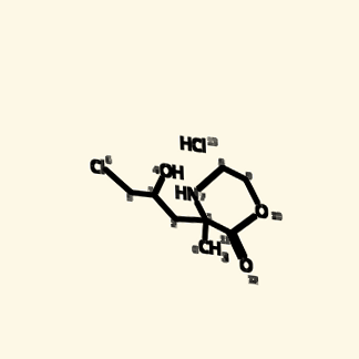 CC1(CC(O)CCl)NCCOC1=O.Cl